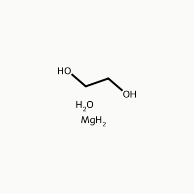 O.OCCO.[MgH2]